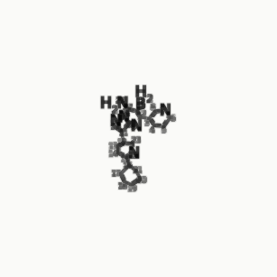 Bc1c(-c2cccnc2)nc2c(-c3ccc(C4C=CC=CC4)nc3)cnn2c1N